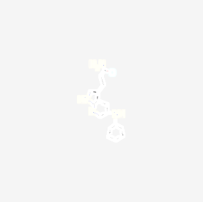 NC(=O)C=Cc1c[nH]c2ncc(Nc3ccccc3)cc12